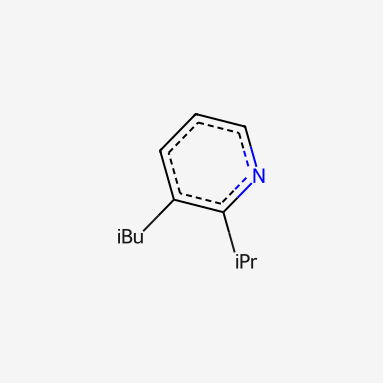 CCC(C)c1cccnc1C(C)C